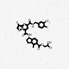 CCC(O)COC(=O)c1ccc2c(c1C)CC[C@@H]2NC(=O)c1cc(C(=O)NCc2ccc(F)c(C(F)(F)F)c2)nc2c(F)cnn12